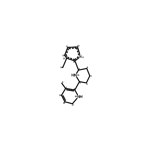 CC1=C(C2CCCC(c3ncccc3C)N2)NCC=C1